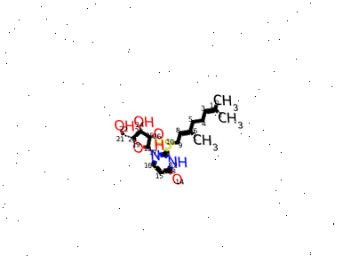 CC(C)=CCC/C(C)=C/C[SH]=c1[nH]c(=O)ccn1[C@@H]1O[C@H](CO)[C@@H](O)[C@H]1O